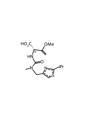 C=C(OC)[C@H](NC(=O)N(C)Cc1csc(C(C)C)n1)C(=O)O